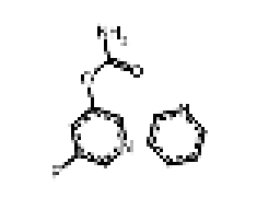 NC(=O)Oc1cncc(F)c1.c1ccncc1